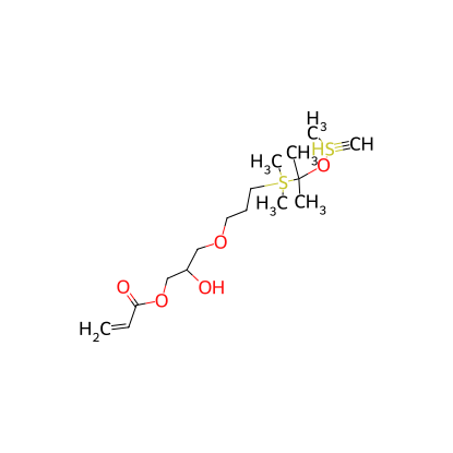 C#[SH](C)OC(C)(C)S(C)(C)CCCOCC(O)COC(=O)C=C